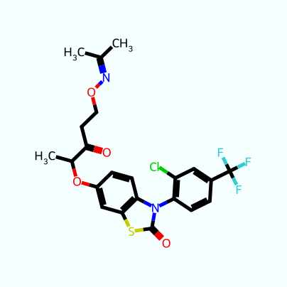 CC(C)=NOCCC(=O)C(C)Oc1ccc2c(c1)sc(=O)n2-c1ccc(C(F)(F)F)cc1Cl